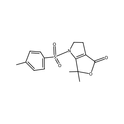 Cc1ccc(S(=O)(=O)N2CCC3=C2C(C)(C)OC3=O)cc1